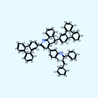 Cc1ccc(-c2cc(-c3ccc4c5ccccc5c5ccccc5c4c3)nc3c2cc(-c2ccc4c5ccccc5c5ccccc5c4c2)c2ccccc23)cc1/N=C(\C=C\c1ccccc1)c1ccccc1